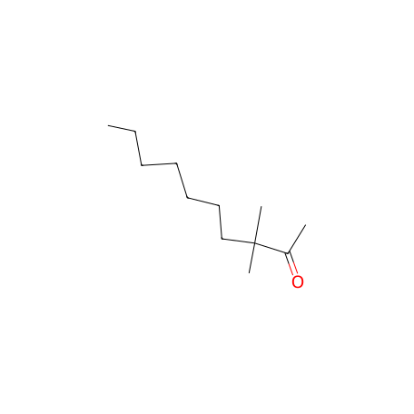 CCCCCCCC(C)(C)C(C)=O